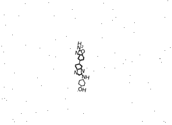 Nc1nc2cc(-c3ccc4ncc(N[C@H]5CC[C@H](O)CC5)nc4c3)ccc2o1